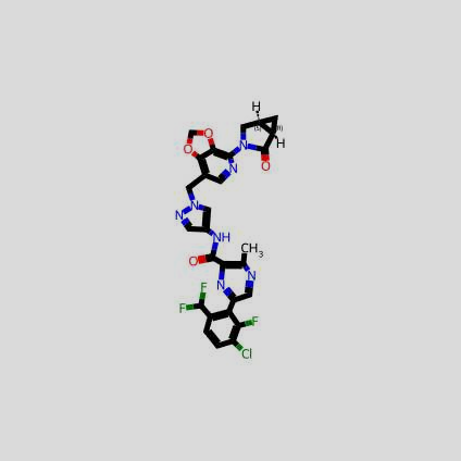 Cc1ncc(-c2c(C(F)F)ccc(Cl)c2F)nc1C(=O)Nc1cnn(Cc2cnc(N3C[C@H]4C[C@H]4C3=O)c3c2OCO3)c1